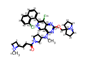 CN1CCC1/C=C/C(=O)N1CCC(N(C)c2nc(OCC34CCCN3CCC4)nc3c(F)c(-c4cccc5cccc(Cl)c45)ncc23)C1